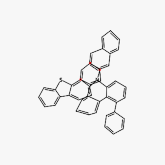 c1ccc(-c2ccccc2-c2c(-c3ccccc3)cccc2N(c2ccc3ccccc3c2)c2ccc3c(c2)sc2ccccc23)cc1